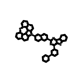 c1ccc(-c2cccc(-c3nc(-c4ccc5cc(-n6c7ccc8cccc9sc%10cccc%11ccc6c(c%11%10)c7c89)ccc5c4)nc4c3sc3ccccc34)c2)cc1